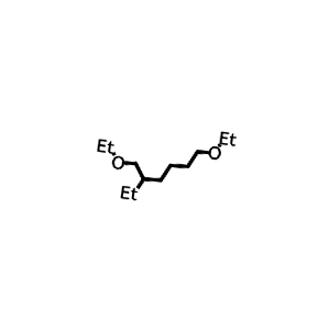 CCOCCCCC(CC)COCC